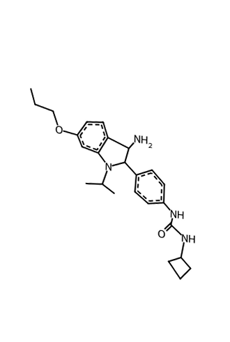 CCCOc1ccc2c(c1)N(C(C)C)C(c1ccc(NC(=O)NC3CCC3)cc1)C2N